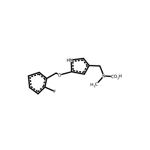 CN(Cc1c[nH]c(OCc2ccccc2F)c1)C(=O)O